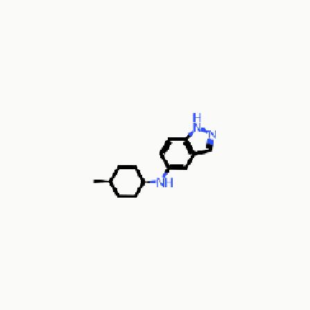 C[C@H]1CC[C@@H](Nc2ccc3[nH]ncc3c2)CC1